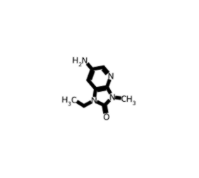 CCn1c(=O)n(C)c2ncc(N)cc21